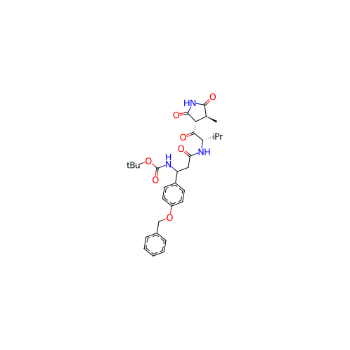 CC(C)[C@H](NC(=O)CC(NC(=O)OC(C)(C)C)c1ccc(OCc2ccccc2)cc1)C(=O)[C@@H]1C(=O)NC(=O)[C@H]1C